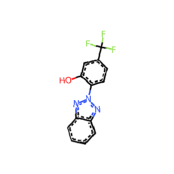 Oc1cc(C(F)(F)F)ccc1-n1nc2ccccc2n1